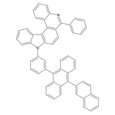 c1ccc(-c2nc3ccccc3c3c2ccc2c3c3ccccc3n2-c2cccc(-c3c4ccccc4c(-c4ccc5ccccc5c4)c4ccccc34)c2)cc1